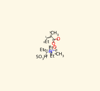 CCC=C(C)C(=O)OOC(C)[N+](CC)(CC)C(CC)S(=O)(=O)O